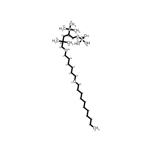 CCCCCCCCCCCOCCCCCCOCC(C)(C)CC(COP(=O)(O)O)[N+](C)(C)C